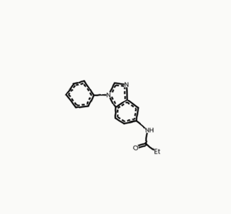 CCC(=O)Nc1ccc2c(c1)ncn2-c1ccccc1